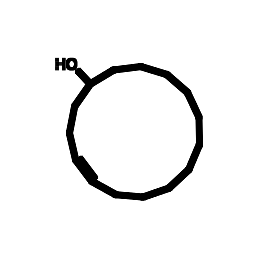 OC1CCC=CCCCCCCCCCC1